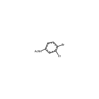 CCc1cc(NC(C)=O)ccc1Br